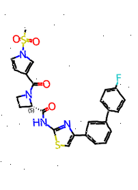 CS(=O)(=O)n1ccc(C(=O)N2CC[C@H]2C(=O)Nc2nc(-c3cccc(-c4ccc(F)cc4)c3)cs2)c1